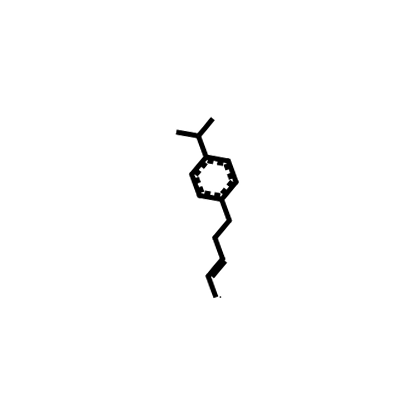 [CH2]C=CCCc1ccc(C(C)C)cc1